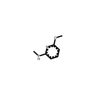 COc1cccc(PC)n1